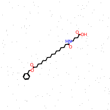 O=C(O)CCCNC(=O)CCCCCCCCCCCCCCC(=O)OCc1ccccc1